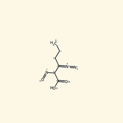 CCCC(=[N+]=[N-])C(N=O)C(=O)O